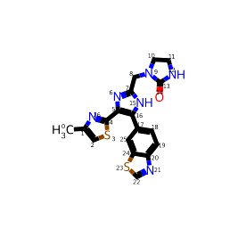 Cc1csc(-c2nc(CN3CCNC3=O)[nH]c2-c2ccc3ncsc3c2)n1